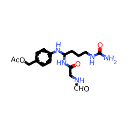 CC(=O)OCc1ccc(NC(CCCNC(N)=O)NC(=O)CNC=O)cc1